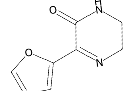 O=C1NCCN=C1c1ccco1